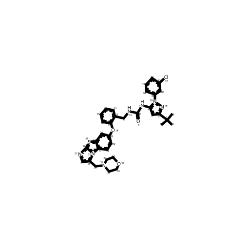 CC(C)(C)c1cc(NC(=O)NCc2ccccc2Oc2ccc3c(c2)sc2ncc(CN4CCOCC4)n23)n(-c2cc[c]c(Cl)c2)n1